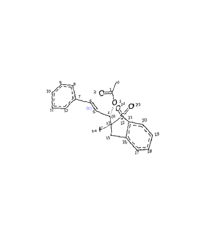 CC(=O)O[C@@H](/C=C/c1ccccc1)C1(F)Cc2ccccc2S1(=O)=O